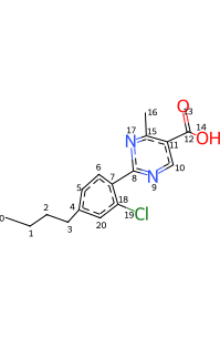 CCCCc1ccc(-c2ncc(C(=O)O)c(C)n2)c(Cl)c1